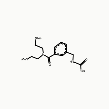 CNCCN(CCNC)C(=O)c1cccc(CNC(=O)C(C)(C)C)c1